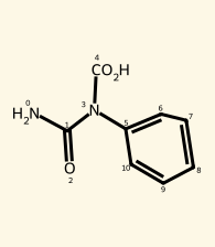 NC(=O)N(C(=O)O)c1ccccc1